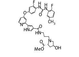 COC(=O)[C@H]1C[C@H](O)CN1CCCNC(=O)c1c[nH]c(-c2cc(Oc3ccc(NC(=O)Nc4cc(C)ccc4F)c(F)c3)ccn2)c1